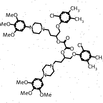 COc1cc(N2CCN(CCC(COc3cc(C)c(C)cc3Cl)OC(=O)C(=O)OC(CCN3CCN(c4cc(OC)c(OC)c(OC)c4)CC3)COc3cc(C)c(C)cc3Cl)CC2)cc(OC)c1OC